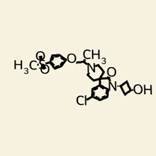 CC(COc1ccc(S(C)(=O)=O)cc1)N1CCC2(CC1)C(=O)N([C@H]1C[C@H](O)C1)c1ccc(Cl)cc12